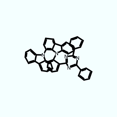 c1ccc(-c2nc(-c3ccccc3)nc(-c3ccccc3-n3c4ccccc4c4cccc(-n5c6ccccc6c6ccccc65)c43)n2)cc1